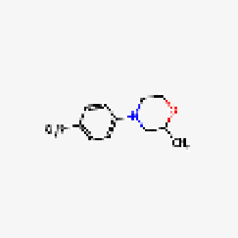 CC1CN(c2ccc([N+](=O)[O-])cc2)CCO1